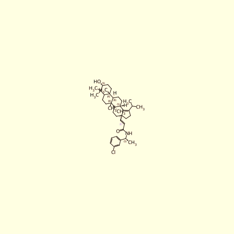 CC(C)C1=C2[C@H]3CC[C@@H]4[C@@]5(C)CC[C@H](O)C(C)(C)C5CC[C@@]4(C)[C@]3(C)CC[C@@]2(/C=C/C(=O)N[C@@H](C)c2cccc(Cl)c2)CC1